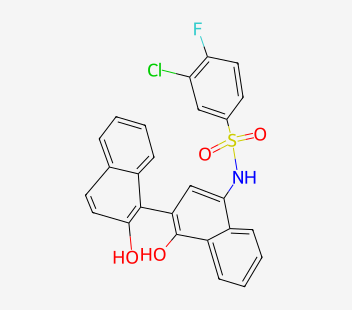 O=S(=O)(Nc1cc(-c2c(O)ccc3ccccc23)c(O)c2ccccc12)c1ccc(F)c(Cl)c1